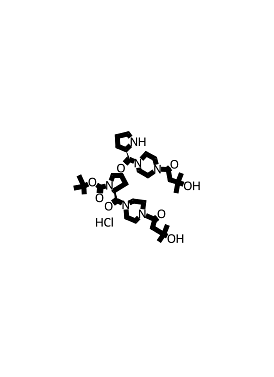 CC(C)(O)CC(=O)N1CCN(C(=O)[C@@H]2CCCN2)CC1.CC(C)(O)CC(=O)N1CCN(C(=O)[C@@H]2CCCN2C(=O)OC(C)(C)C)CC1.Cl